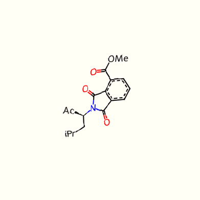 COC(=O)c1cccc2c1C(=O)N([C@@H](CC(C)C)C(C)=O)C2=O